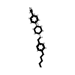 CCCCCc1ccc(CC[C@H]2CC[C@H](c3ccc(C#N)cc3)CC2)cc1